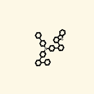 c1ccc(-c2ccc(N(c3ccc(-c4ccccc4-c4ccccc4)cc3)c3ccc(-c4ccccc4-c4cccc5c4sc4ccccc45)cc3)cc2)cc1